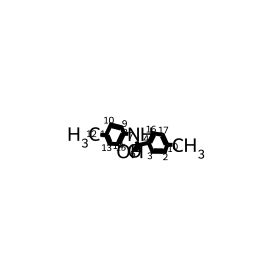 Cc1ccc(C(=O)Nc2ccc(C)cc2O)cc1